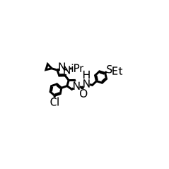 CCSc1ccc(CNC(=O)N2CC(c3cccc(Cl)c3)C(c3cc(C4CC4)nn3C(C)C)C2)cc1